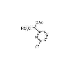 CC(=O)OC(C(=O)O)c1cccc(Cl)n1